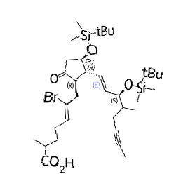 CC#CCC(C)[C@@H](/C=C/[C@H]1[C@H](O[Si](C)(C)C(C)(C)C)CC(=O)[C@@H]1CC(Br)=CCCC(C)C(=O)O)O[Si](C)(C)C(C)(C)C